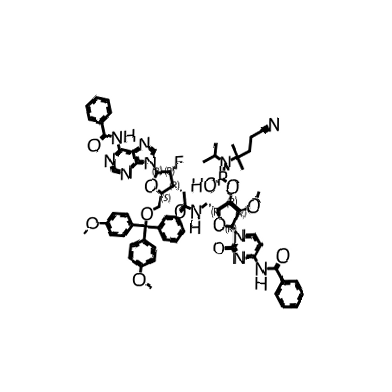 COc1ccc(C(OC[C@H]2O[C@@H](n3cnc4c(NC(=O)c5ccccc5)ncnc43)[C@H](F)[C@@H]2CC(=O)NC[C@H]2O[C@@H](n3ccc(NC(=O)c4ccccc4)nc3=O)[C@H](OC)[C@@H]2OP(O)N(C(C)C)C(C)(C)CCC#N)(c2ccccc2)c2ccc(OC)cc2)cc1